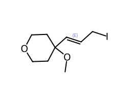 COC1(/C=C/CI)CCOCC1